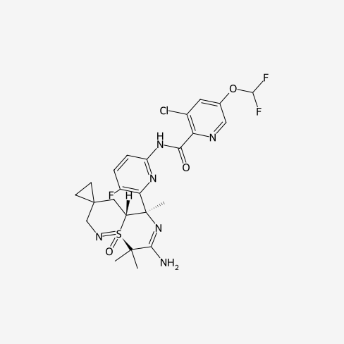 CC1(C)C(N)=N[C@](C)(c2nc(NC(=O)c3ncc(OC(F)F)cc3Cl)ccc2F)[C@H]2CC3(CC3)CN=[S@@]21=O